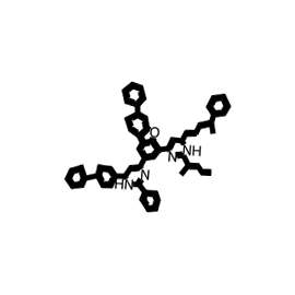 C=C/C=C(\C)C1=NC(c2cc(C3=CC(c4ccc(-c5ccccc5)cc4)NC(c4ccccc4)=N3)cc3c2oc2cc(-c4ccccc4)ccc23)=CC(/C=C/C=C(\C)c2ccccc2)N1